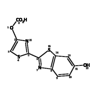 O=C(O)Oc1csc(-c2nc3ccc(O)cc3s2)n1